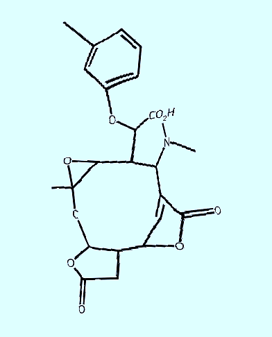 Cc1cccc(OC(C(=O)O)C2C(N(C)C)C3=CC(OC3=O)C3CC(=O)OC3CC3(C)OC23)c1